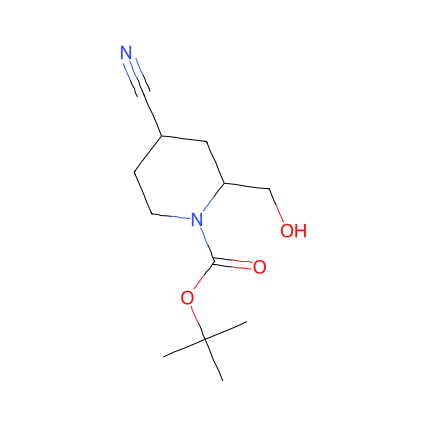 CC(C)(C)OC(=O)N1CCC(C#N)CC1CO